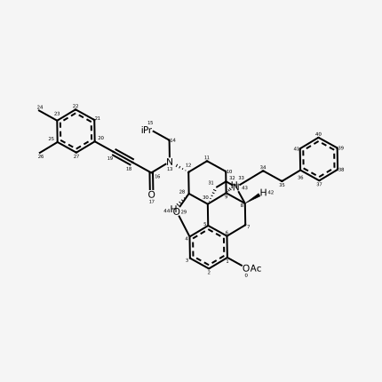 CC(=O)Oc1ccc2c3c1C[C@@H]1[C@@H]4CC[C@@H](N(CC(C)C)C(=O)C#Cc5ccc(C)c(C)c5)[C@H](O2)[C@]34CCN1CCc1ccccc1